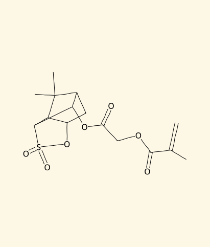 C=C(C)C(=O)OCC(=O)OC1C2CC3OS(=O)(=O)C1C3C2(C)C